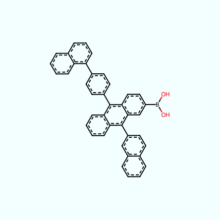 OB(O)c1ccc2c(-c3ccc(-c4cccc5ccccc45)cc3)c3ccccc3c(-c3ccc4ccccc4c3)c2c1